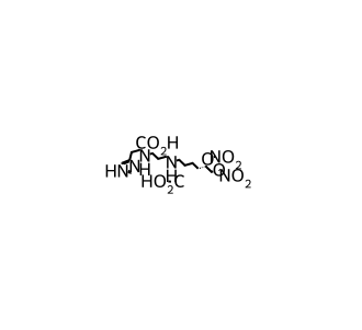 CC(=O)O.O=C(O)[C@H](Cc1c[nH]cn1)NCCCNCCCC[C@@H](CO[N+](=O)[O-])O[N+](=O)[O-]